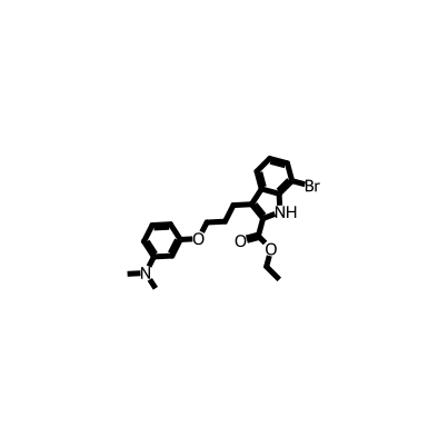 CCOC(=O)c1[nH]c2c(Br)cccc2c1CCCOc1cccc(N(C)C)c1